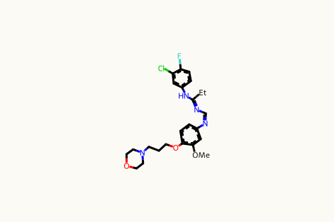 CC/C(=N\C=N/c1ccc(OCCCN2CCOCC2)c(OC)c1)Nc1ccc(F)c(Cl)c1